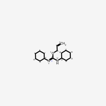 C=CCO/C(=N\C1CCCCC1)NC1CCCCC1